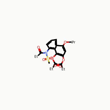 CCC(=O)Oc1cc(OC(C)C)c2cccc(N(C(=O)CC)S(C)(=O)=O)c2c1OC(=O)CC